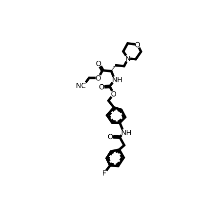 N#CCOC(=O)[C@H](CCN1CCOCC1)NC(=O)OCc1ccc(NC(=O)Cc2ccc(F)cc2)cc1